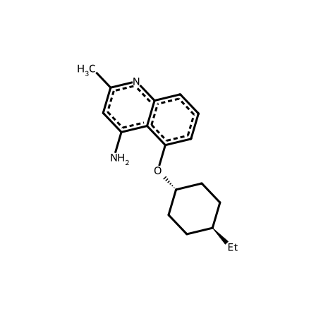 CC[C@H]1CC[C@H](Oc2cccc3nc(C)cc(N)c23)CC1